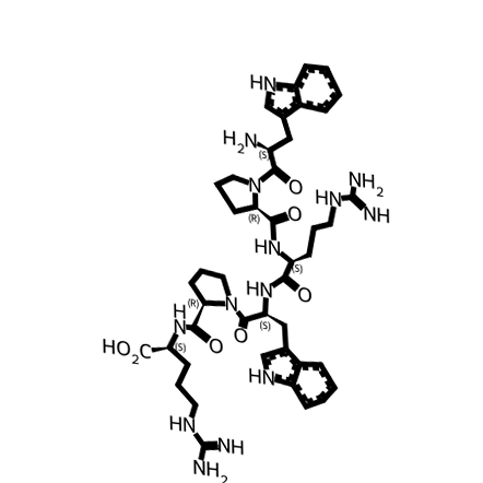 N=C(N)NCCC[C@H](NC(=O)[C@H]1CCCN1C(=O)[C@H](Cc1c[nH]c2ccccc12)NC(=O)[C@H](CCCNC(=N)N)NC(=O)[C@H]1CCCN1C(=O)[C@@H](N)Cc1c[nH]c2ccccc12)C(=O)O